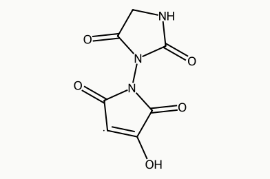 O=C1[C]=C(O)C(=O)N1N1C(=O)CNC1=O